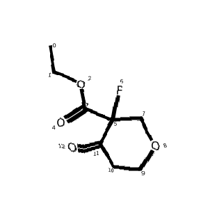 CCOC(=O)C1(F)COCCC1=O